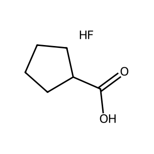 F.O=C(O)C1CCCC1